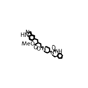 COC(=O)C(CC(=O)N1CCC(N2CCc3ccccc3NC2=O)CC1)Cc1ccc2[nH]ncc2c1